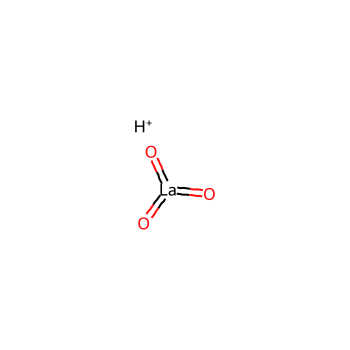 [H+].[O]=[La](=[O])=[O]